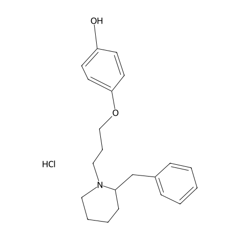 Cl.Oc1ccc(OCCCN2CCCCC2Cc2ccccc2)cc1